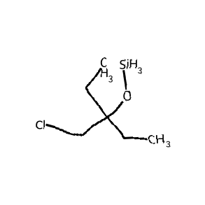 CCC(CC)(CCl)O[SiH3]